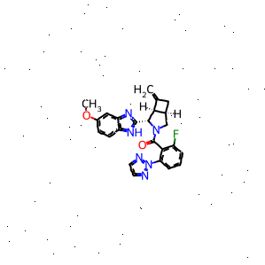 C=C1C[C@H]2CN(C(=O)c3c(F)cccc3-n3nccn3)[C@H](c3nc4cc(OC)ccc4[nH]3)[C@@H]12